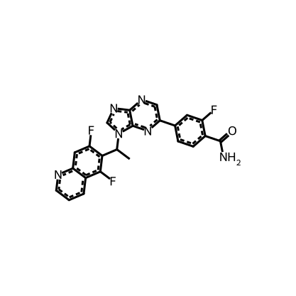 CC(c1c(F)cc2ncccc2c1F)n1cnc2ncc(-c3ccc(C(N)=O)c(F)c3)nc21